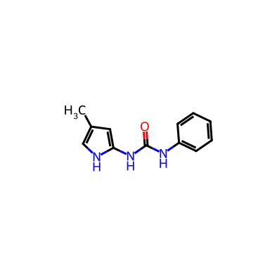 Cc1c[nH]c(NC(=O)Nc2ccccc2)c1